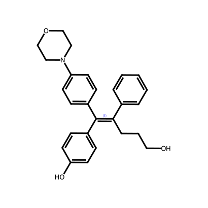 OCCC/C(=C(\c1ccc(O)cc1)c1ccc(N2CCOCC2)cc1)c1ccccc1